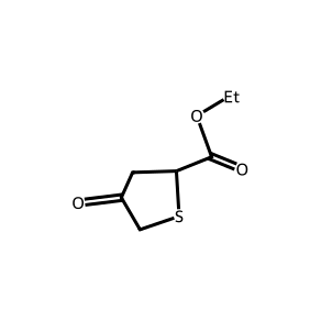 CCOC(=O)C1CC(=O)CS1